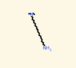 CCN(CC)CCCCCCCCC=CCCCCCCCCCCN